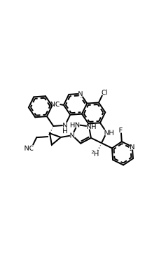 [2H][C@@](Nc1cc(Cl)c2ncc(C#N)c(N[C@H](CCC#N)c3ccccc3)c2c1)(C1=CN(C2CC2)NN1)c1cccnc1F